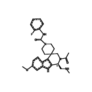 CNC[C@H]1c2[nH]c3cc(OC)ccc3c2C2(CCN(C(=O)Nc3ccccc3F)CC2)CN1C(C)=O